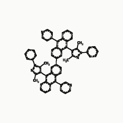 Cc1nn(-c2ccccc2)c(C)c1-c1c2ccccc2c(-c2ccncc2)c2ccc(-c3ccc4c(-c5cccnc5)c5ccccc5c(-c5c(C)nn(-c6ccccc6)c5C)c4c3)cc12